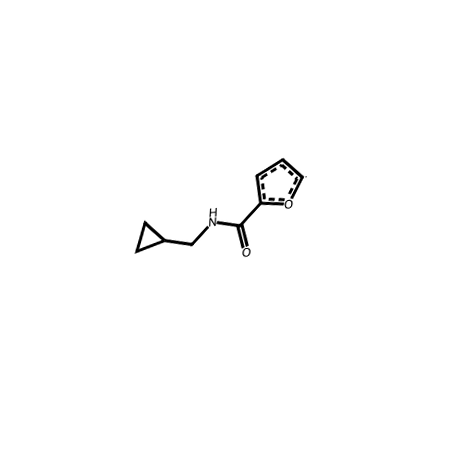 O=C(NCC1CC1)c1cc[c]o1